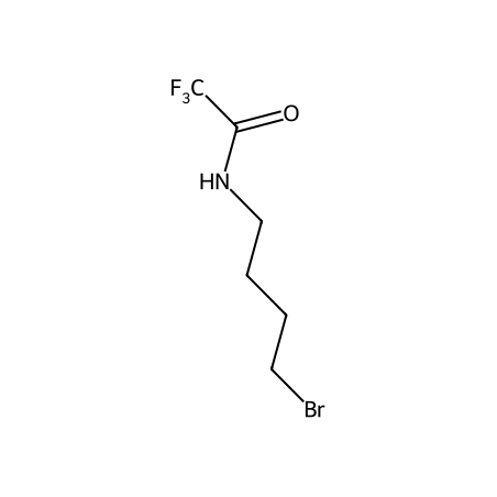 O=C(NCCCCBr)C(F)(F)F